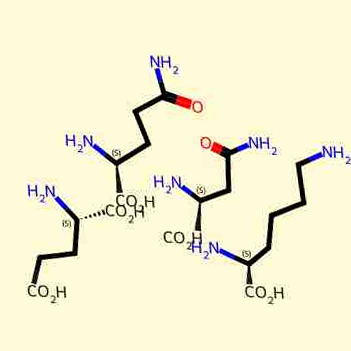 NC(=O)CC[C@H](N)C(=O)O.NC(=O)C[C@H](N)C(=O)O.NCCCC[C@H](N)C(=O)O.N[C@@H](CCC(=O)O)C(=O)O